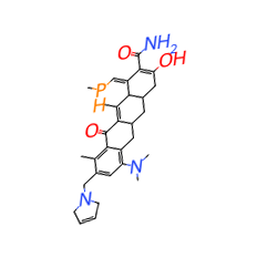 CP/C=C1/C(C(N)=O)=C(O)CC2CC3Cc4c(N(C)C)cc(CN5CC=CC5)c(C)c4C(=O)C3=C(C)C12